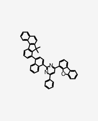 CC1(C)c2ccc3ccccc3c2-c2cccc(-c3ccc(-c4nc(-c5ccccc5)cc(-c5cccc6c5oc5ccccc56)n4)c4ccccc34)c21